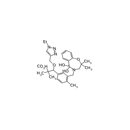 CCn1cc(COC(c2ccc(C)c(CN3CC(C)(C)Oc4ccccc4S3(O)O)c2)C(C)(C)C(=O)O)nn1